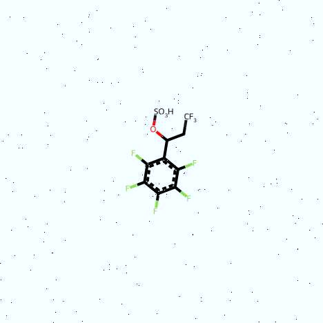 O=S(=O)(O)OC(CC(F)(F)F)c1c(F)c(F)c(F)c(F)c1F